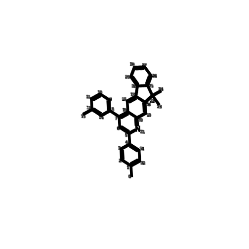 Cc1ccc(-c2cc(-c3cccc(C)c3)c3cc4c(cc3n2)C(C)(C)c2ccccc2-4)cc1